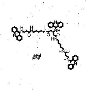 Cl.Cl.Cl.O=C(CCNc1c2ccccc2nc2ccccc12)NCCCCCNC(=O)CC(CC(=O)NCCCCCNC(=O)CCNc1c2ccccc2nc2ccccc12)Nc1c2ccccc2nc2ccccc12